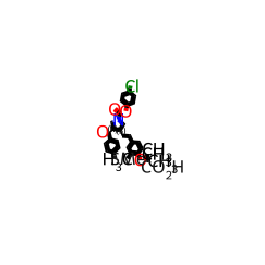 CSc1ccc(C(=O)[C@H]2CN(C(=O)Oc3ccc(Cl)cc3)C[C@H]2CCc2cc(C)c(OC(C)(C)C(=O)O)c(C)c2)cc1